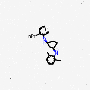 CCCc1ccccc1/N=C1\CC/C(=N/c2c(C)cccc2C)C1